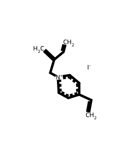 C=CC(=C)C[n+]1ccc(C=C)cc1.[I-]